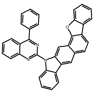 c1ccc(-c2nc(-n3c4ccccc4c4cc5ccc6c7ccccc7oc6c5cc43)nc3ccccc23)cc1